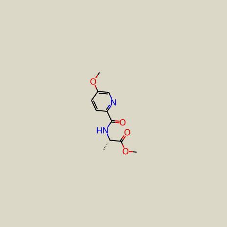 COC(=O)[C@H](C)NC(=O)c1ccc(OC)cn1